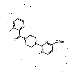 COc1ccnc(N2CCN(C(=O)c3ccccc3C)CC2)n1